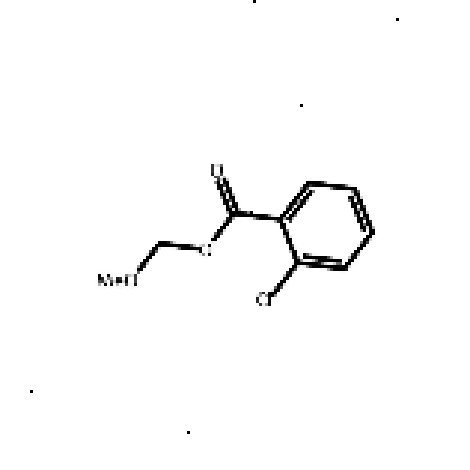 COCOC(=O)c1ccccc1Cl